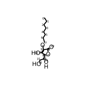 CCCCCCCCOC1=C(O)[C@@H]([C@@H](O)CO)OC1=O